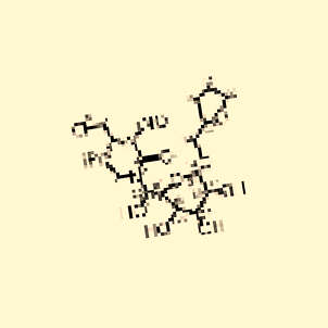 CC(C)CN(C(=O)N(CCCl)N=O)C(O)[C@H]1O[C@H](OCC2CCCO2)[C@@H](O)[C@@H](O)[C@H]1O